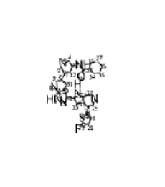 O=C(Nc1cncc(-c2cnc3[nH]nc(-c4cc5c(-c6ccc(F)s6)cncc5[nH]4)c3c2)c1)C1CCCCC1